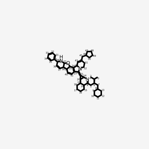 CC1C[N+]2=C(CC1CC1CCCCC1)C1CCCCC1C1/C(=C3\C4=C(C5OC6NC(c7ccccc7)C=CC6C5C=C4)C4C=C(CC5CCCC5)CCN34)C12